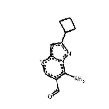 Nc1c(C=O)cnc2cc(C3CCC3)nn12